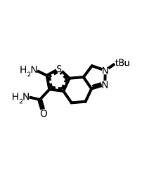 CC(C)(C)N1CC2C(=N1)CCc1c2sc(N)c1C(N)=O